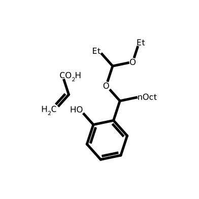 C=CC(=O)O.CCCCCCCCC(OC(CC)OCC)c1ccccc1O